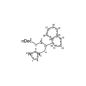 CCCCCCCCCCCSC(Cn1ccnc1)c1cccc2ccccc12